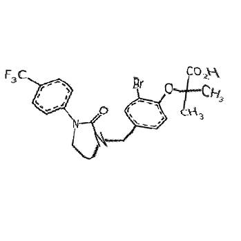 CC(C)(Oc1ccc(CN2CCN(c3ccc(C(F)(F)F)cc3)C2=O)cc1Br)C(=O)O